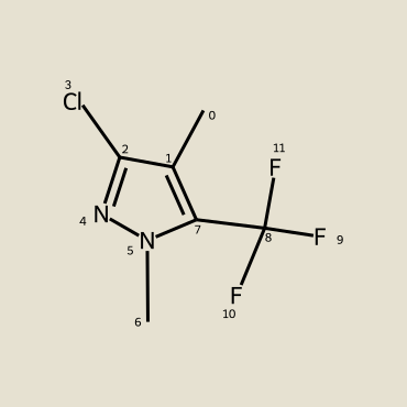 Cc1c(Cl)nn(C)c1C(F)(F)F